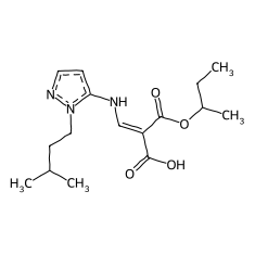 CCC(C)OC(=O)C(=CNc1ccnn1CCC(C)C)C(=O)O